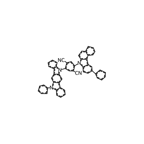 N#Cc1cc(-n2c3ccc(-c4ccccc4)cc3c3c4ccccc4ccc32)c(C#N)cc1-n1c2ccccc2c2cc3c(cc21)c1ccccc1n3-c1ccccc1